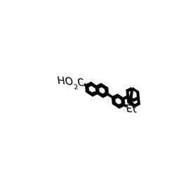 CCc1ccc(-c2ccc3cc(C(=O)O)ccc3c2)cc1C12CC3CC(CC(C3)C1)C2